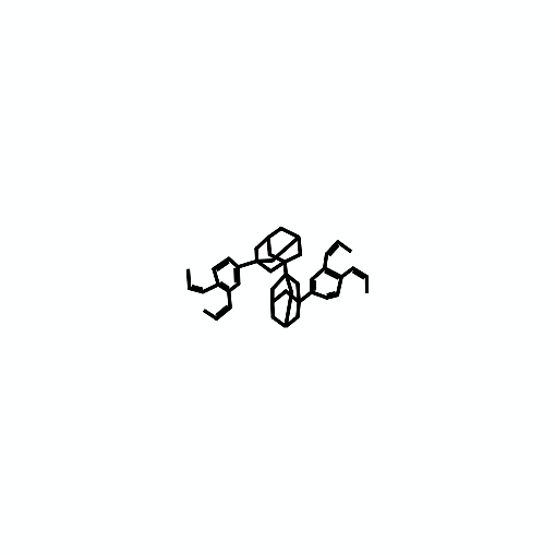 C/C=C\c1ccc(C23CC4CC(C2)CC(C25CC6CC(CC(c7ccc(/C=C\C)c(/C=C\C)c7)(C6)C2)C5)(C4)C3)cc1/C=C\C